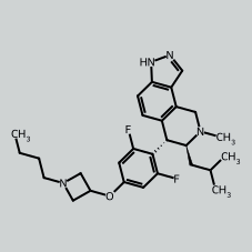 CCCCN1CC(Oc2cc(F)c([C@@H]3c4ccc5[nH]ncc5c4CN(C)[C@H]3CC(C)C)c(F)c2)C1